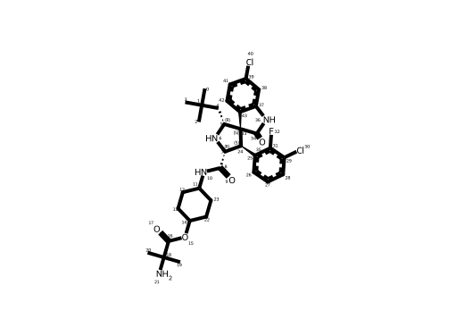 CC(C)(C)C[C@H]1N[C@@H](C(=O)NC2CCC(OC(=O)C(C)(C)N)CC2)[C@H](c2cccc(Cl)c2F)[C@@]12C(=O)Nc1cc(Cl)ccc12